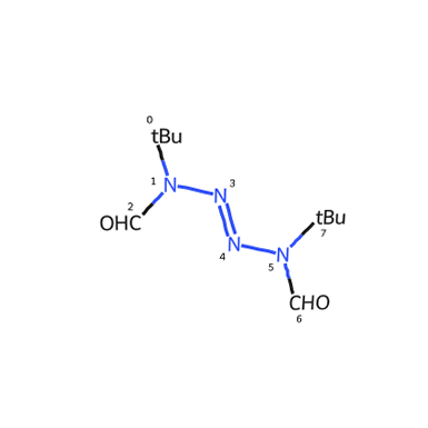 CC(C)(C)N(C=O)/N=N/N(C=O)C(C)(C)C